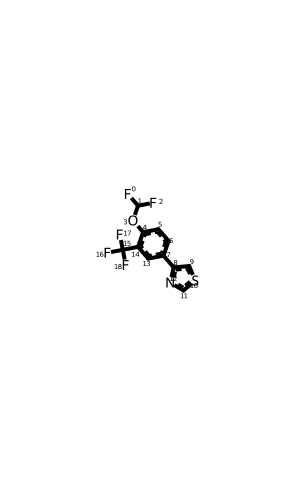 FC(F)Oc1ccc(-c2cscn2)cc1C(F)(F)F